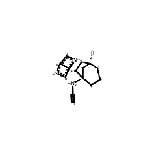 C#CN[C@@]12CCC[C@H](CC1)C2.c1nc2cnc1-2